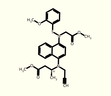 C#CCN(c1ccc(N(CC(=O)OC)Sc2ccccc2OC)c2ccccc12)[C@@H](C)CC(=O)OC